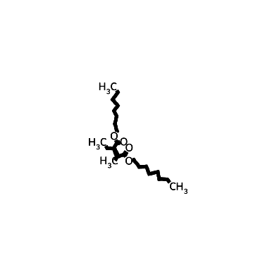 CCCCCCCCOC(=O)/C(C)=C(/CC)C(=O)OCCCCCCCC